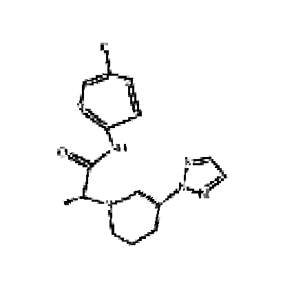 C[C@@H](C(=O)Nc1ccc(Cl)cn1)N1CCC[C@H](n2nccn2)C1